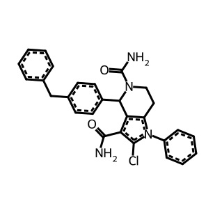 NC(=O)c1c2c(n(-c3ccccc3)c1Cl)CCN(C(N)=O)C2c1ccc(Cc2ccccc2)cc1